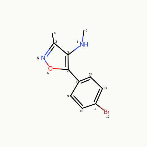 CNc1c(C)noc1-c1ccc(Br)cc1